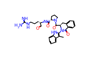 Cc1c(N[C@H](Cc2ccccc2C=O)C(=O)N2CCC[C@H]2C(=O)N[C@H](C=O)CCCNC(=N)N)[nH]c2ccccc12